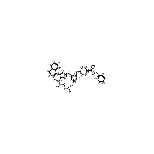 CN(C)CCN(C)C(=O)c1cn(Cc2cncn2CC2CCN(C(=O)OCc3ccccc3)CC2)cc1-c1cccc2ccccc12